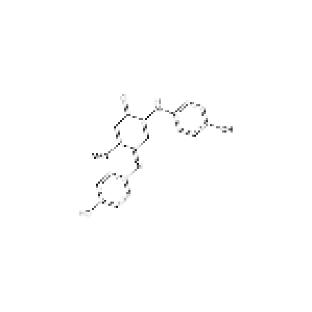 CNC1=CC(=O)C(Nc2ccc(O)cc2)=C/C1=N/c1ccc(O)cc1